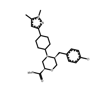 CNC(=O)[C@H]1CN(C2CCC(c3cc(C)n(C)n3)CC2)[C@@H](Cc2ccc(Cl)cc2)CO1